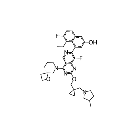 CCc1c(F)ccc2cc(O)cc(-c3ncc4c(N5CCC[C@]6(CCO6)C5)nc(OCC5(CN6CCC(C)C6)CC5)nc4c3F)c12